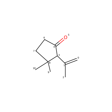 C=C(C)C1C(=O)CCC1(C)C